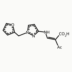 CC(=O)/C(=C/Nc1ccn(Cc2ccco2)n1)C(=O)O